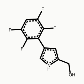 OCc1cc(-c2c(F)c(F)cc(F)c2F)c[nH]1